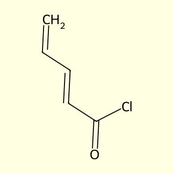 C=C/C=C/C(=O)Cl